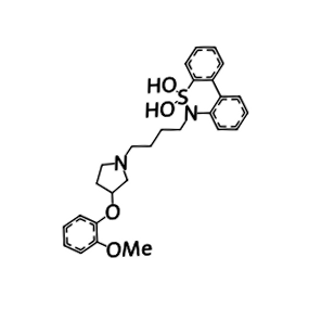 COc1ccccc1OC1CCN(CCCCN2c3ccccc3-c3ccccc3S2(O)O)C1